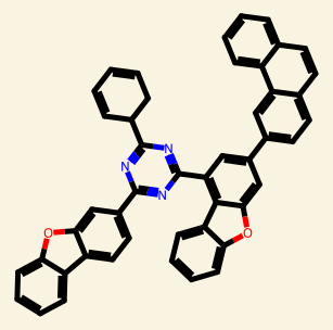 C1=CCC(c2nc(-c3ccc4c(c3)oc3ccccc34)nc(-c3cc(-c4ccc5ccc6ccccc6c5c4)cc4oc5ccccc5c34)n2)C=C1